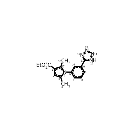 CCOC(=O)c1cc(C)n(-c2cccc(-c3nnn[nH]3)c2)c1C